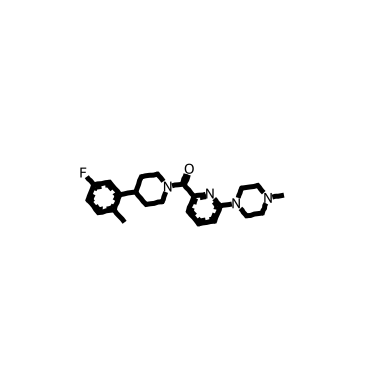 Cc1ccc(F)cc1C1CCN(C(=O)c2cccc(N3CCN(C)CC3)n2)CC1